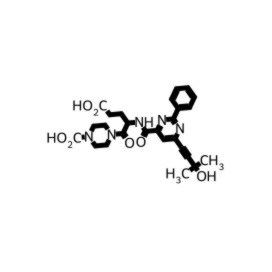 CC(C)(O)C#Cc1cc(C(=O)NC(CCC(=O)O)C(=O)N2CCN(C(=O)O)CC2)nc(-c2ccccc2)n1